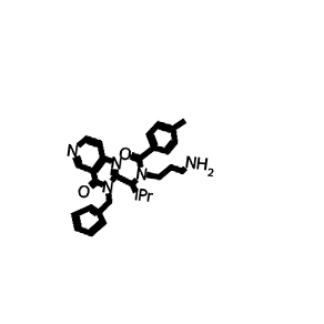 Cc1ccc(C(=O)N(CCCN)C(c2nc3ccncc3c(=O)n2Cc2ccccc2)C(C)C)cc1